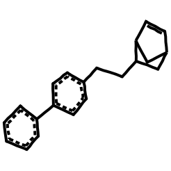 C1=CC2CC1CC2CCc1ccc(-c2ccccc2)cc1